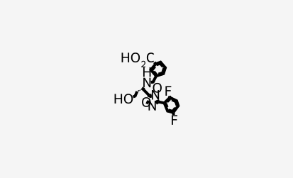 O=C(O)c1cccc(C(=O)N[C@@H](CCO)c2nc(-c3cc(F)ccc3F)no2)c1